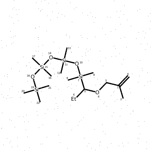 C=C(C)COC(CC)[Si](C)(C)O[Si](C)(C)O[Si](C)(C)O[Si](C)(C)C